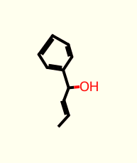 C/C=C/C(O)c1ccccc1